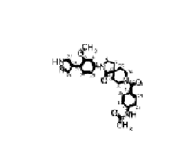 COc1cc(N2CCC3(CCN(C(=O)c4ccc(NC(C)=O)cc4)CC3)C2=O)ccc1-c1cn[nH]c1